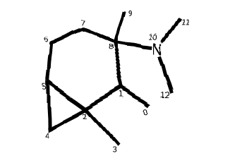 CC1C2(C)CC2CCC1(C)N(C)C